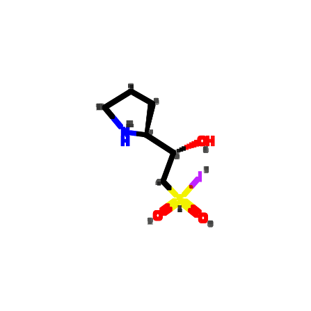 O=S(=O)(I)C[C@@H](O)[C@@H]1CCCN1